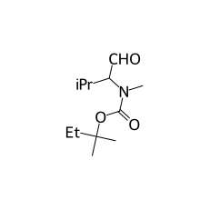 CCC(C)(C)OC(=O)N(C)C(C=O)C(C)C